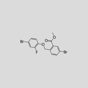 COC(=O)c1cc(Br)ccc1COc1ccc(Br)cc1F